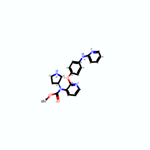 CC(C)(C)OC(=O)N(c1cccnc1Oc1ccc(Nc2ccccn2)cc1)[C@H]1CCNC1